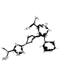 C[C@H](O)c1nnc(C2CC(c3c(C(N)=O)noc3-c3ccccc3)C2)o1